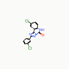 O=c1[nH]c2ccc(Cl)cc2c2nc(-c3cccc(Cl)c3)nn12